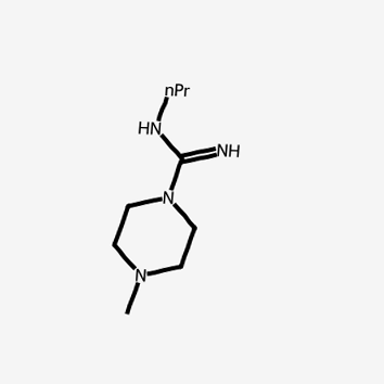 CCCNC(=N)N1CCN(C)CC1